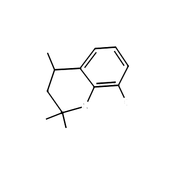 CC1CC(C)(C)Nc2c(Cl)cccc21